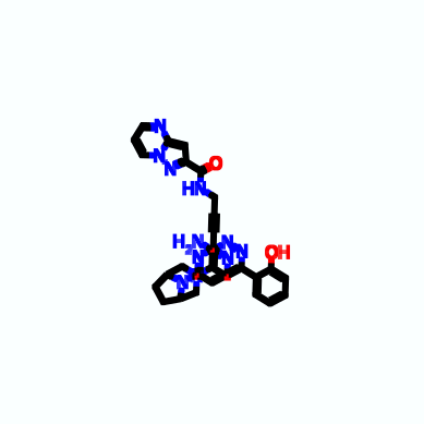 Nc1nnc(-c2ccccc2O)cc1N1CC2CCC(C1)N2c1ccnc(C#CCNC(=O)c2cc3ncccn3n2)n1